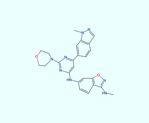 CNc1noc2cc(Nc3cc(-c4ccc5cnn(C)c5c4)nc(N4CCOCC4)n3)ccc12